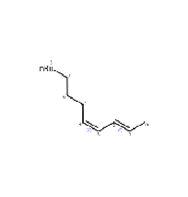 C/C=C/C=C\CCCCCCC